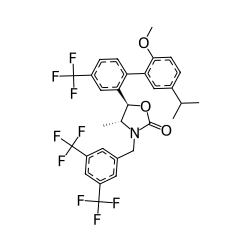 COc1ccc(C(C)C)cc1-c1ccc(C(F)(F)F)cc1[C@H]1OC(=O)N(Cc2cc(C(F)(F)F)cc(C(F)(F)F)c2)[C@@H]1C